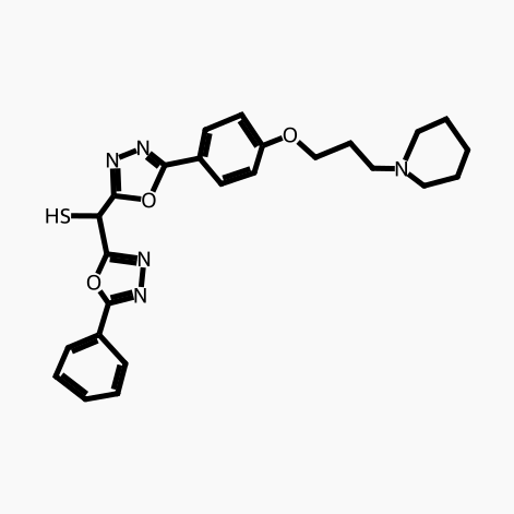 SC(c1nnc(-c2ccccc2)o1)c1nnc(-c2ccc(OCCCN3CCCCC3)cc2)o1